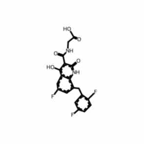 O=C(O)CNC(=O)c1c(O)c2cc(F)cc(Cc3cc(F)ccc3F)c2[nH]c1=O